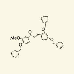 COc1cc(C(=O)C=Cc2ccc(OCc3ccccc3)cc2OCc2ccccc2)ccc1OCc1ccccc1